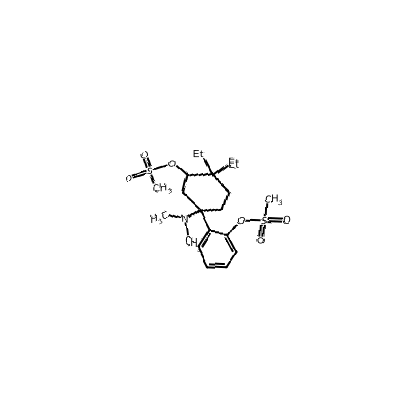 CCC1(CC)CCC(c2ccccc2OS(C)(=O)=O)(N(C)C)CC1OS(C)(=O)=O